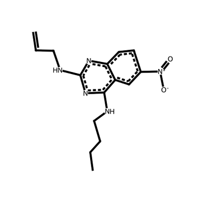 C=CCNc1nc(NCCCC)c2cc([N+](=O)[O-])ccc2n1